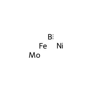 [B].[Fe].[Mo].[Ni]